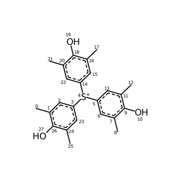 Cc1cc([S+](c2cc(C)c(O)c(C)c2)c2cc(C)c(O)c(C)c2)cc(C)c1O